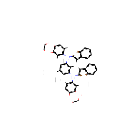 Cc1cc2c3c(c1)N(c1c(C)cc4c(c1C)OCCO4)c1sc4ccccc4c1B3c1c(sc3ccccc13)N2c1c(C)cc2c(c1C)OCCO2